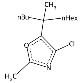 CCCCCCC(C)(CCCC)c1oc(C)nc1Cl